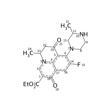 CCOC(=O)c1cn2c3c(c(N4CCNC(C)C4)c(F)cc3c1=O)C(=O)CC2C